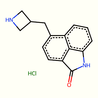 Cl.O=C1Nc2cccc3c(CC4CNC4)ccc1c23